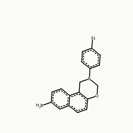 Bc1ccc2c3c(ccc2c1)OCN(c1ccc(CC)cc1)C3